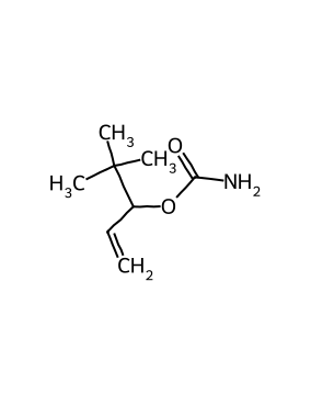 C=CC(OC(N)=O)C(C)(C)C